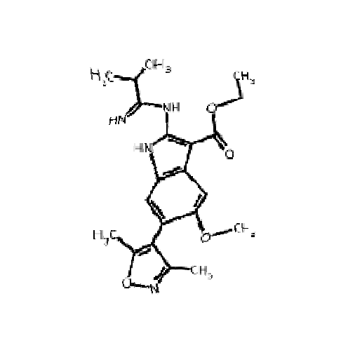 CCOC(=O)c1c(NC(=N)C(C)C)[nH]c2cc(-c3c(C)noc3C)c(OC)cc12